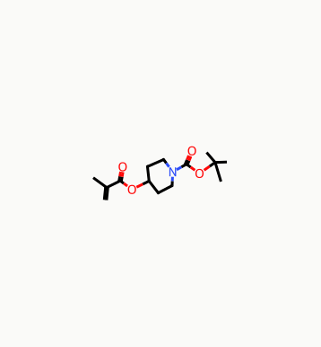 C=C(C)C(=O)OC1CCN(C(=O)OC(C)(C)C)CC1